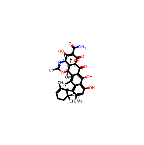 CCC1=N[C@@H]2C(O)=C(C(N)=O)C(=O)[C@@]3(O)C(=O)c4c(c5c6c(c(OC)cc(O)c6c4O)[C@]4(C5)C(C)=CCCC4(C)C)[C@](OC)(O1)[C@@H]23